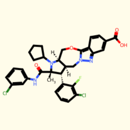 C[C@]1(C(=O)Nc2cccc(Cl)c2)[C@@H](c2cccc(Cl)c2F)[C@@H]2Cn3nc4cc(C(=O)O)ccc4c3OC[C@@H]2N1C1CCCC1